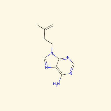 C=C(C)CCn1cnc2c(N)ncnc21